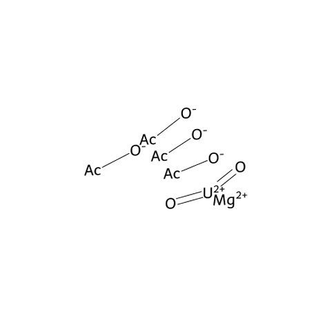 CC(=O)[O-].CC(=O)[O-].CC(=O)[O-].CC(=O)[O-].[Mg+2].[O]=[U+2]=[O]